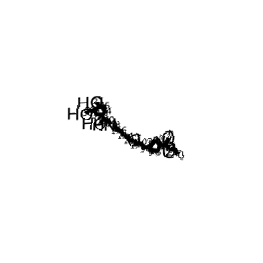 CCOC(=O)c1ccc(CCCOCCCCCCNCC(O)c2ccc(O)c(CO)c2)cc1